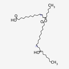 CCCCCCC[C@@H](O)C/C=C\CCCCCCCCCC(=O)O[C@@H](C/C=C\CCCCCCCCCC(=O)O)CCCCCC